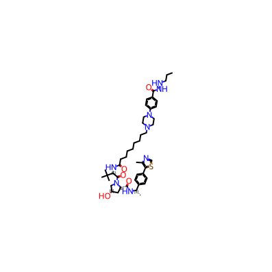 CCCNNC(=O)c1ccc(N2CCN(CCCCCCCCC(=O)N[C@H](C(=O)N3C[C@H](O)C[C@H]3C(=O)N[C@@H](C)c3ccc(-c4scnc4C)cc3)C(C)(C)C)CC2)cc1